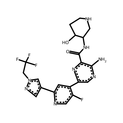 Nc1ncc(-c2cc(-c3cnn(CC(F)(F)F)c3)ncc2F)nc1C(=O)NC1CNCCC1O